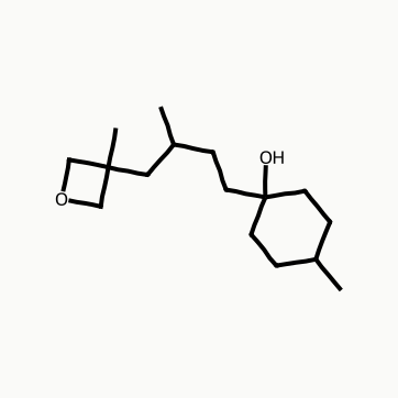 CC1CCC(O)(CCC(C)CC2(C)COC2)CC1